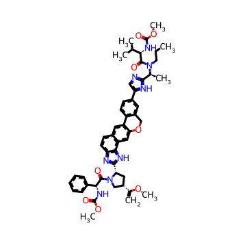 C=C(OC)[C@H]1C[C@@H](c2nc3ccc4cc5c(cc4c3[nH]2)OCc2cc(-c3cnc([C@H](C)N(CCC)C(=O)[C@@H](NC(=O)OC)C(C)C)[nH]3)ccc2-5)N(C(=O)[C@H](NC(=O)OC)c2ccccc2)C1